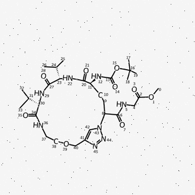 COC(=O)CNC(=O)C1CC[C@H](NC(=O)OC(C)(C)C)C(=O)N[C@@H](C(C)C)C(=O)N[C@@H](C(C)C)C(=O)NCCOCc2cn1nn2